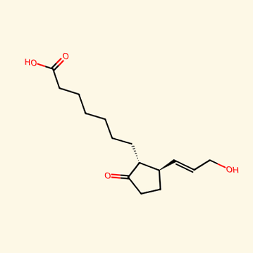 O=C(O)CCCCCC[C@H]1C(=O)CC[C@@H]1/C=C/CO